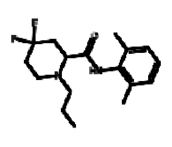 CCCN1CCC(F)(F)CC1C(=O)Nc1c(C)cccc1C